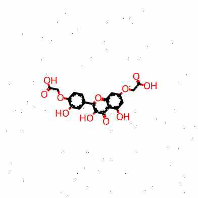 O=C(O)COc1cc(O)c2c(=O)c(O)c(-c3ccc(OCC(=O)O)c(O)c3)oc2c1